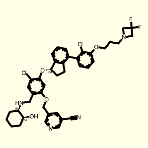 N#Cc1cncc(COc2cc(O[C@H]3CCc4c(-c5cccc(OCCCN6CC(F)(F)C6)c5Cl)cccc43)c(Cl)cc2CN[C@@H]2CCCC[C@@H]2O)c1